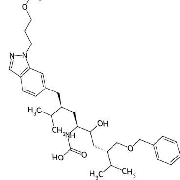 COCCCn1ncc2ccc(C[C@@H](C[C@H](NC(=O)O)C(O)C[C@H](COCc3ccccc3)C(C)C)C(C)C)cc21